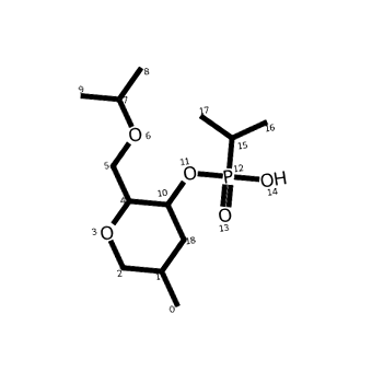 CC1COC(COC(C)C)C(OP(=O)(O)C(C)C)C1